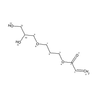 C=CC(=O)OCCCOCC(O)CO